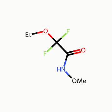 CCOC(F)(F)C(=O)NOC